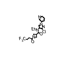 CCN(C(=O)C1CN(C(=O)CCC(F)(F)F)C1)c1cn(-c2cccnc2)nc1Cl